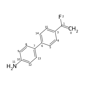 C=C(F)c1ccc(-c2ccc(N)cc2)cc1